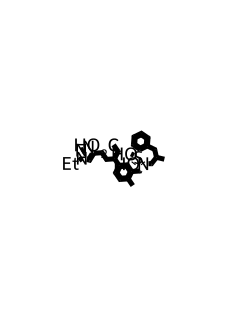 CCn1cc(CCC(CC(=O)O)c2ccc(C)c(CN3CC(C)Cc4ccccc4S3(O)O)c2)nn1